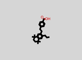 CCCc1cc2c(cc1CCc1ccc(C(=O)O)cc1)C(C)(C)CCC2(C)C